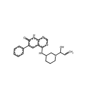 C=CC(O)N1CCCC(Nc2ncnc3[nH]c(=O)c(-c4ccccc4)cc23)C1